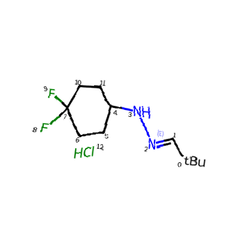 CC(C)(C)/C=N/NC1CCC(F)(F)CC1.Cl